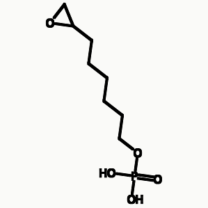 O=P(O)(O)OCCCCCCC1CO1